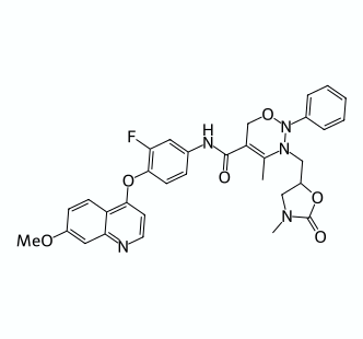 COc1ccc2c(Oc3ccc(NC(=O)C4=C(C)N(CC5CN(C)C(=O)O5)N(c5ccccc5)OC4)cc3F)ccnc2c1